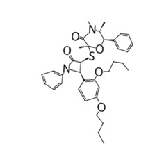 CCCCOc1ccc([C@@H]2[C@H](S[C@@]3(C)O[C@H](c4ccccc4)[C@H](C)N(C)C3=O)C(=O)N2c2ccccc2)c(OCCCC)c1